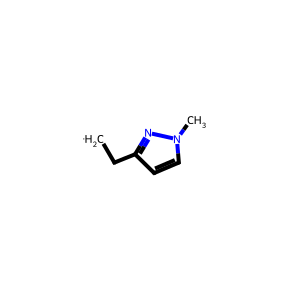 [CH2]Cc1ccn(C)n1